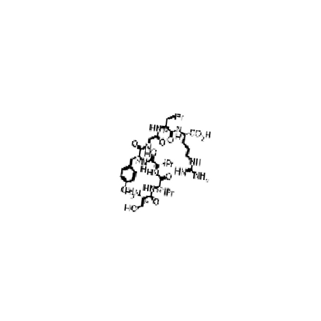 CC(C)C[C@H](NC(=O)CNC(=O)[C@H](Cc1ccc(O)cc1)NC(=O)[C@@H](NC(=O)[C@@H](NC(=O)[C@@H](N)CO)C(C)C)C(C)C)C(=O)N[C@@H](CCCNC(=N)N)C(=O)O